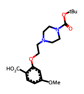 COc1ccc(C(=O)O)c(OCCN2CCN(C(=O)OC(C)(C)C)CC2)c1